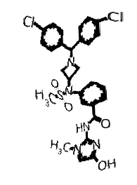 Cn1cc(O)nc1NC(=O)c1cccc(N(C2CN(C(c3ccc(Cl)cc3)c3ccc(Cl)cc3)C2)S(C)(=O)=O)c1